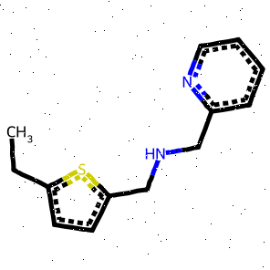 CCc1ccc(CNCc2ccccn2)s1